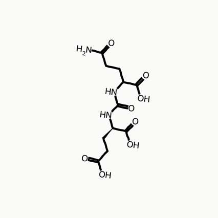 NC(=O)CCC(NC(=O)N[C@H](CCC(=O)O)C(=O)O)C(=O)O